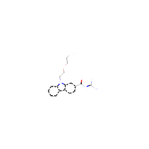 COCCOCCn1c2ccccc2c2ccc(C(=O)N=C(N)N)cc21